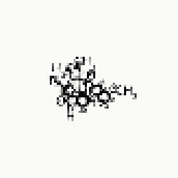 COc1cccc2[nH]c(C(=O)N[C@@H](CC(C)C)C(=O)N3C[C@]4(C[C@H]3C#N)C(=O)Nc3ccccc34)cc12